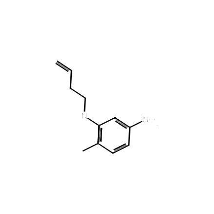 C=CCCNc1cc([N+](=O)[O-])ccc1C